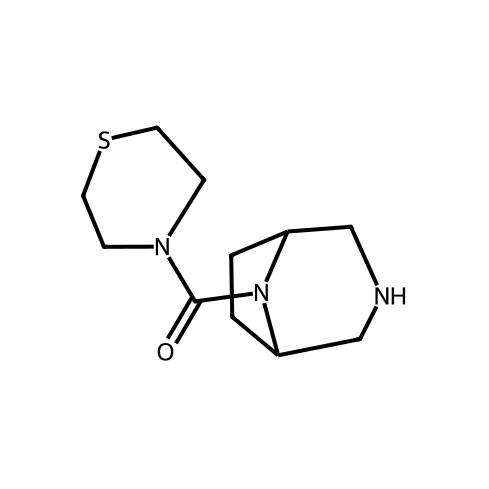 O=C(N1CCSCC1)N1C2CCC1CNC2